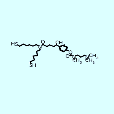 CC(CCCC(=O)N(CCCCCCS)CCCCCCS)c1ccc(OC(=O)N(C)CCCN(C)C)cc1